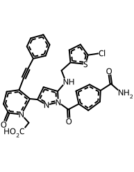 NC(=O)c1ccc(C(=O)n2nc(-c3c(C#Cc4ccccc4)ccc(=O)n3CC(=O)O)cc2NCc2ccc(Cl)s2)cc1